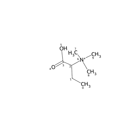 CCC(C(=O)O)[N+](C)(C)C